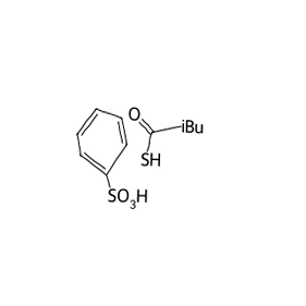 CCC(C)C(=O)S.O=S(=O)(O)c1ccccc1